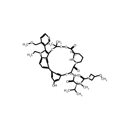 CCn1c(-c2cnccc2COC)c2c3cc(ccc31)-c1cc(O)cc(c1)C[C@H](NC(=O)[C@H](C(C)C)N(C)C(=O)N1CC(OC)C1)C(=O)N1CCC[C@H](N1)C(=O)OCC(C)(C)C2